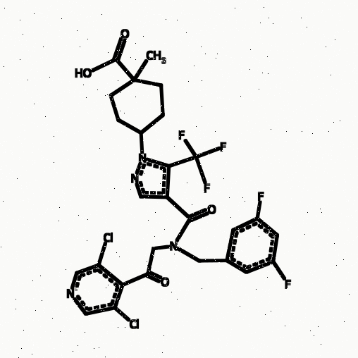 CC1(C(=O)O)CCC(n2ncc(C(=O)N(CC(=O)c3c(Cl)cncc3Cl)Cc3cc(F)cc(F)c3)c2C(F)(F)F)CC1